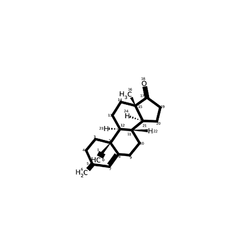 C#C[C@]12CCC(=C)C=C1CC[C@@H]1[C@@H]2CC[C@]2(C)C(=O)CC[C@@H]12